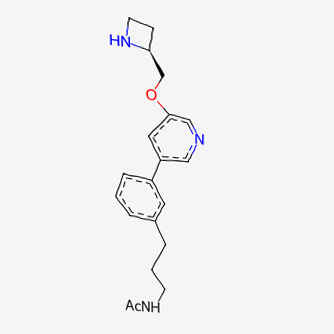 CC(=O)NCCCc1cccc(-c2cncc(OC[C@@H]3CCN3)c2)c1